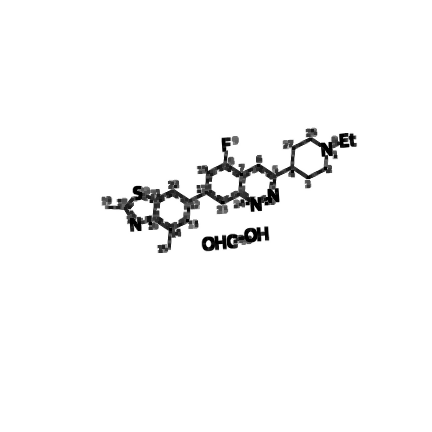 CCN1CCC(c2cc3c(F)cc(-c4cc(C)c5nc(C)sc5c4)cc3nn2)CC1.O=CO